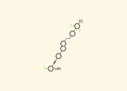 CCCc1ccc(F)cc1C#Cc1ccc(-c2ccc3cc(CCc4ccc(-c5c(F)cc(CC)cc5F)cc4)ccc3c2)cc1